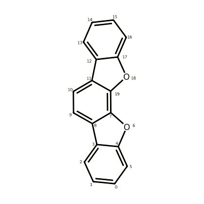 c1ccc2c(c1)oc1c2ccc2c3ccccc3oc21